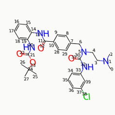 CN(C)CCN(Cc1ccc(C(=O)Nc2ccccc2NC(=O)OC(C)(C)C)cc1)C(=O)Nc1cccc(Cl)c1